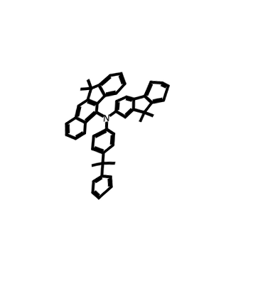 CC(C)(c1ccccc1)c1ccc(N(c2ccc3c(c2)C(C)(C)c2ccccc2-3)c2c3c(cc4ccccc24)C(C)(C)c2ccccc2-3)cc1